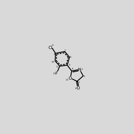 O=C1CN=C(c2ccc(Cl)cc2F)O1